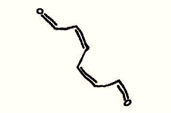 O=C/C=C\C=C/C=O